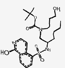 CCCCC(CN(CCCO)C(=O)OC(C)(C)C)NS(=O)(=O)c1cccc2c(O)nccc12